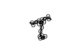 CCOC(=O)c1ccc(OC2=C(Oc3ccc(C(=O)OCC)cc3)C(=O)N(CCOCCOCCC(=O)ON3C(=O)CCC3=O)C2=O)cc1